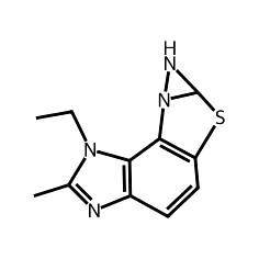 CCn1c(C)nc2ccc3c(c21)N1NC1S3